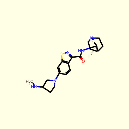 CNC1CCN(c2ccc3c(C(=O)N[C@H]4CN5CCC4CC5)nsc3c2)C1